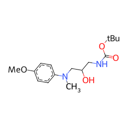 COc1ccc(N(C)CC(O)CNC(=O)OC(C)(C)C)cc1